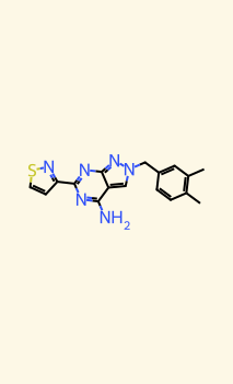 Cc1ccc(Cn2cc3c(N)nc(-c4ccsn4)nc3n2)cc1C